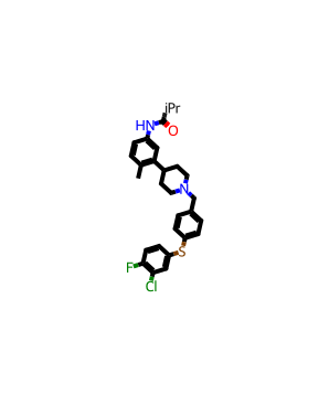 Cc1ccc(NC(=O)C(C)C)cc1C1CCN(Cc2ccc(Sc3ccc(F)c(Cl)c3)cc2)CC1